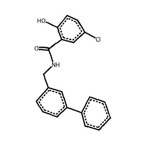 O=C(NCc1cccc(-c2ccccc2)c1)c1cc(Cl)ccc1O